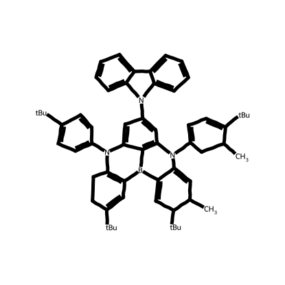 CC1CC(N2C3=CC(C)C(C(C)(C)C)C=C3B3C4=C(CCC(C(C)(C)C)=C4)N(c4ccc(C(C)(C)C)cc4)c4cc(-n5c6ccccc6c6ccccc65)cc2c43)=CC=C1C(C)(C)C